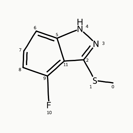 CSc1n[nH]c2cccc(F)c12